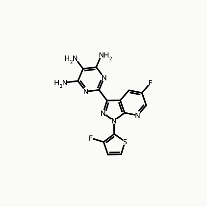 Nc1nc(-c2nn(-c3sccc3F)c3ncc(F)cc23)nc(N)c1N